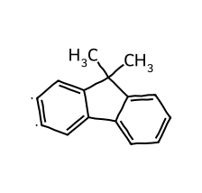 CC1(C)c2c[c][c]cc2-c2ccccc21